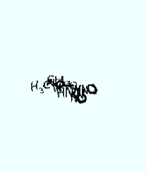 CN(C)c1ccc(C(=O)Nc2nc3cccc(NC4CCCCC4)n3n2)cn1